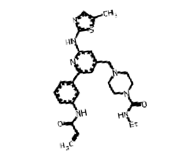 C=CC(=O)Nc1cccc(-c2cc(CN3CCN(C(=O)NCC)CC3)cc(Nc3ncc(C)s3)n2)c1